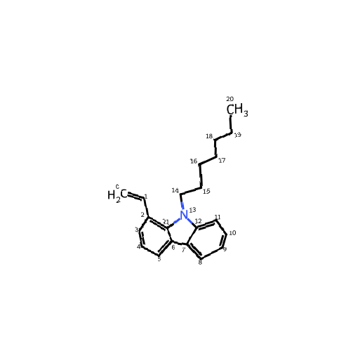 C=Cc1cccc2c3ccccc3n(CCCCCCC)c12